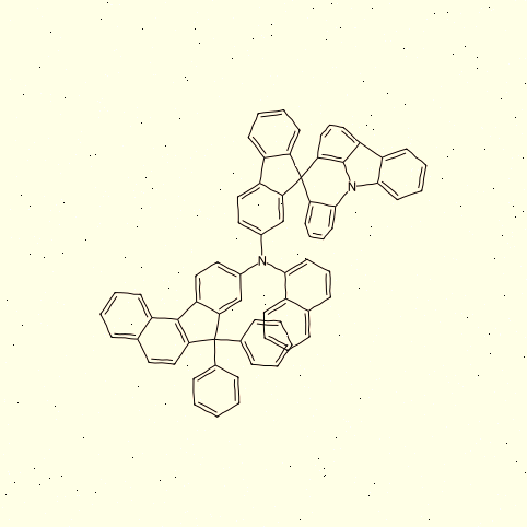 c1ccc(C2(c3ccccc3)c3cc(N(c4ccc5c(c4)C4(c6ccccc6-5)c5ccccc5-n5c6ccccc6c6cccc4c65)c4cccc5ccccc45)ccc3-c3c2ccc2ccccc32)cc1